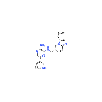 CN/C=C(\CN)c1cnc(N)c(NCc2ccc3ncc(COC)n3c2)n1